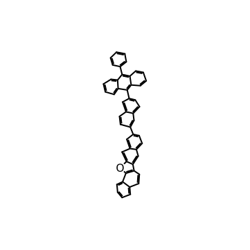 c1ccc(-c2c3ccccc3c(-c3ccc4cc(-c5ccc6cc7c(cc6c5)oc5c6ccccc6ccc75)ccc4c3)c3ccccc23)cc1